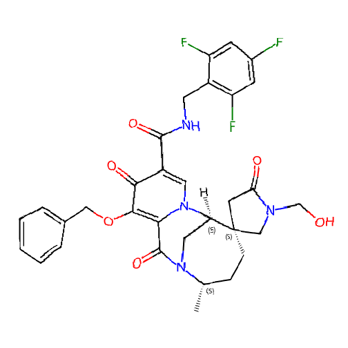 C[C@H]1CC[C@@]2(CC(=O)N(CO)C2)[C@H]2CN1C(=O)c1c(OCc3ccccc3)c(=O)c(C(=O)NCc3c(F)cc(F)cc3F)cn12